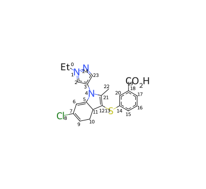 CCn1cc(N2C3=CC(Cl)=CCC3C(Sc3cccc(C(=O)O)c3)=C2C)cn1